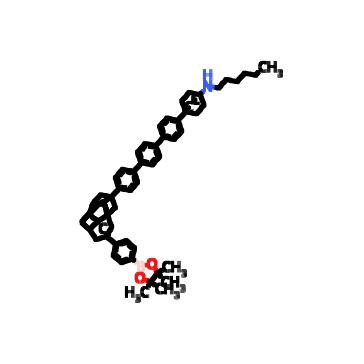 CCCCCCNC12CCC(c3ccc(-c4ccc(-c5ccc(C67CC8C9CC%10(c%11ccc(B%12OC(C)(C)C(C)(C)O%12)cc%11)CC%11C(C6)C8C%11(C%10)C9C7)cc5)cc4)cc3)(CC1)CC2